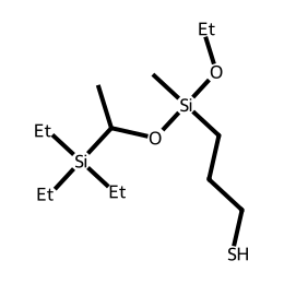 CCO[Si](C)(CCCS)OC(C)[Si](CC)(CC)CC